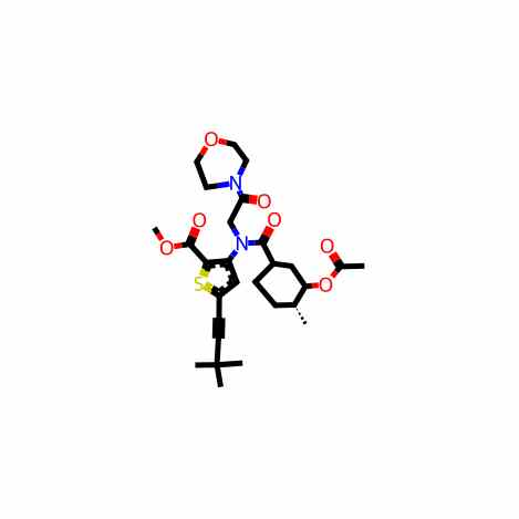 COC(=O)c1sc(C#CC(C)(C)C)cc1N(CC(=O)N1CCOCC1)C(=O)C1CC[C@@H](C)C(OC(C)=O)C1